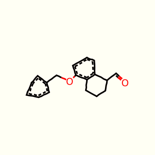 O=CC1CCCc2c(OCc3ccccc3)cccc21